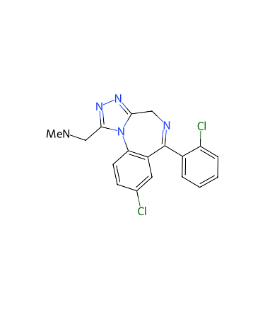 CNCc1nnc2n1-c1ccc(Cl)cc1C(c1ccccc1Cl)=NC2